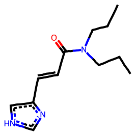 CCCN(CCC)C(=O)C=Cc1c[nH]cn1